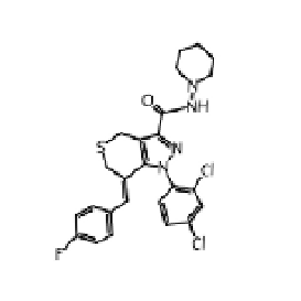 O=C(NN1CCCCC1)c1nn(-c2ccc(Cl)cc2Cl)c2c1CSCC2=Cc1ccc(F)cc1